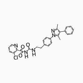 Cc1nn(-c2ccc(CCNC(=O)NS(=O)(=O)c3ncccc3Cl)cc2)c(C)c1-c1ccccc1